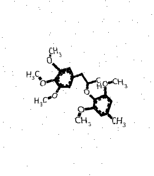 COc1cc(CC(C)Oc2c(OC)cc(C)cc2OC)cc(OC)c1OC